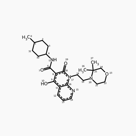 CC1CCC(NC(=O)c2c(O)c3cccnc3n(CCN3CCOCC3(C)C)c2=O)CC1